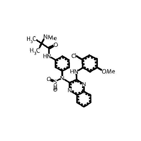 CNC(C)(C)C(=O)Nc1cccc(N(c2nc3ccccc3nc2Nc2cc(OC)ccc2Cl)[SH](=O)=O)c1